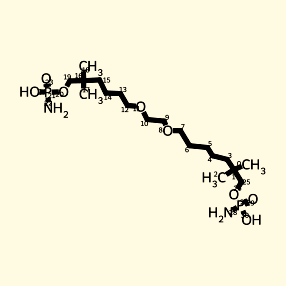 CC(C)(CCCCCOCCOCCCCC(C)(C)COP(N)(=O)O)COP(N)(=O)O